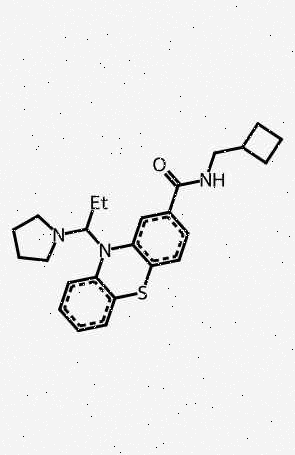 CCC(N1CCCC1)N1c2ccccc2Sc2ccc(C(=O)NCC3CCC3)cc21